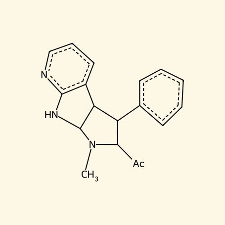 CC(=O)C1C(c2ccccc2)C2c3cccnc3NC2N1C